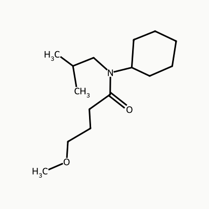 COCCCC(=O)N(CC(C)C)C1CCCCC1